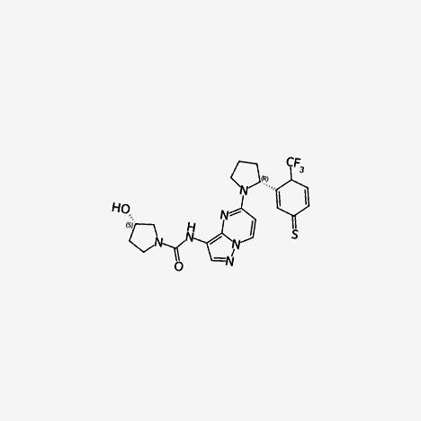 O=C(Nc1cnn2ccc(N3CCC[C@@H]3C3=CC(=S)C=CC3C(F)(F)F)nc12)N1CC[C@H](O)C1